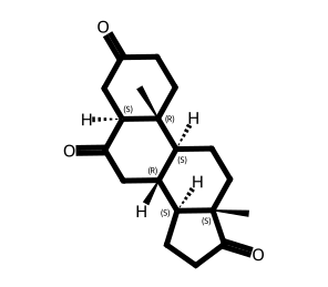 C[C@]12CCC(=O)C[C@@H]1C(=O)C[C@@H]1[C@@H]2CC[C@]2(C)C(=O)CC[C@@H]12